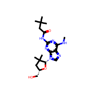 CNc1nc(NC(=O)CC(C)(C)C)nc2c1ncn2[C@@H]1O[C@H](CO)CC1(C)C